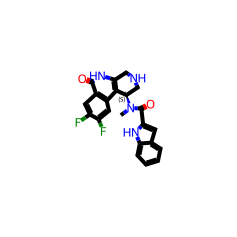 CN(C(=O)c1cc2ccccc2[nH]1)[C@@H]1CNCc2[nH]c(=O)c3cc(F)c(F)cc3c21